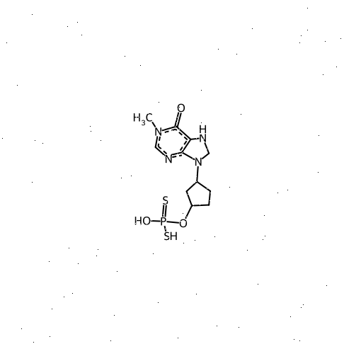 Cn1cnc2c(c1=O)NCN2C1CCC(OP(O)(=S)S)C1